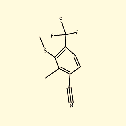 CSc1c(C(F)(F)F)ccc(C#N)c1C